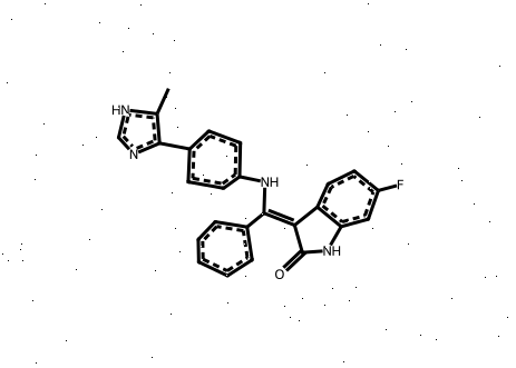 Cc1[nH]cnc1-c1ccc(NC(=C2C(=O)Nc3cc(F)ccc32)c2ccccc2)cc1